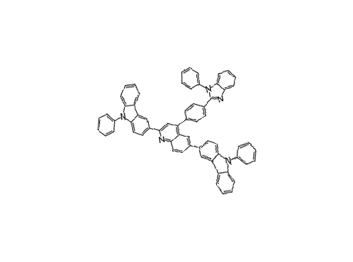 c1ccc(-n2c(-c3ccc(-c4cc(-c5ccc6c(c5)c5ccccc5n6-c5ccccc5)nc5ccc(-c6ccc7c(c6)c6ccccc6n7-c6ccccc6)cc45)cc3)nc3ccccc32)cc1